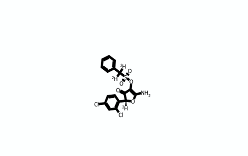 [2H]C([2H])(c1ccccc1)S(=O)(=O)OC1=C(N)O[C@]([2H])(c2ccc(Cl)cc2Cl)C1=O